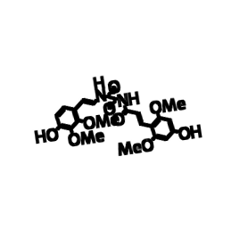 COc1cc(O)cc(OC)c1C=CC(=O)NS(=O)(=O)NC=Cc1ccc(O)c(OC)c1OC